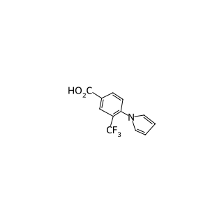 O=C(O)c1ccc(-n2cccc2)c(C(F)(F)F)c1